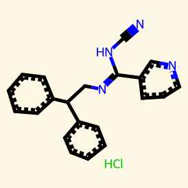 Cl.N#CN/C(=N\CC(c1ccccc1)c1ccccc1)c1cccnc1